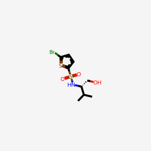 CC(C)[C@@H](CO)NS(=O)(=O)c1ccc(Br)s1